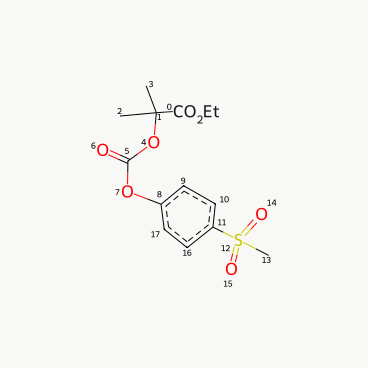 CCOC(=O)C(C)(C)OC(=O)Oc1ccc(S(C)(=O)=O)cc1